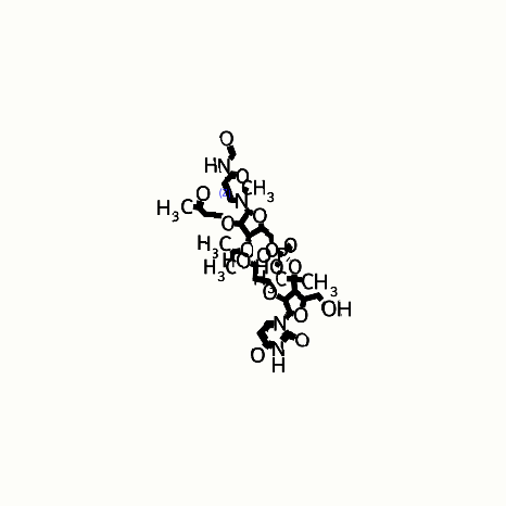 CC(=O)CCOC1C(OC(C)C)C(COP(=O)(O)OC(C)(C)C2C(CO)OC(n3ccc(=O)[nH]c3=O)C2OCCC(=O)O)OC1N(C)/C=C\C(=O)NC=O